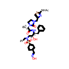 CC[C@H](C)[C@@H](C(=O)N[C@@H](Cc1ccccc1)[C@H](O)CN(CC(C)C)S(=O)(=O)c1ccc(C=NO)cc1)N1CCN(Cc2csc(NC(C)=O)n2)C1=O